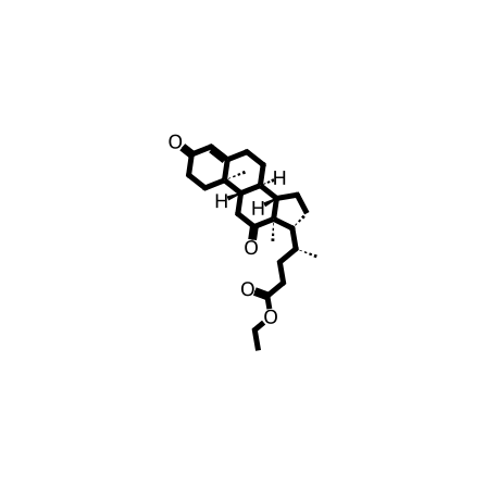 CCOC(=O)CC[C@@H](C)[C@H]1CC[C@H]2[C@@H]3CCC4=CC(=O)CC[C@]4(C)[C@H]3CC(=O)[C@]12C